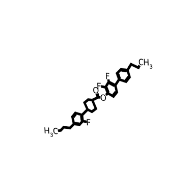 CCCCc1ccc(C2CCC(C(=O)Oc3ccc(-c4ccc(CCC)cc4)c(F)c3F)CC2)c(F)c1